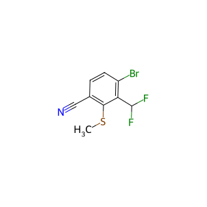 CSc1c(C#N)ccc(Br)c1C(F)F